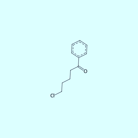 O=C(CCCCCl)c1ccccc1